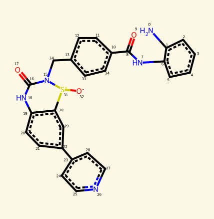 Nc1ccccc1NC(=O)c1ccc(CN2C(=O)Nc3ccc(-c4ccncc4)cc3[S+]2[O-])cc1